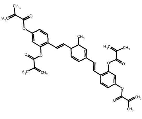 C=C(C)C(=O)Oc1ccc(/C=C/C2=CC(C)C(/C=C/c3ccc(OC(=O)C(=C)C)cc3OC(=O)C(=C)C)C=C2)c(OC(=O)C(=C)C)c1